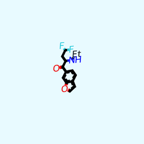 CCNC(CC(F)F)C(=O)c1ccc2ccoc2c1